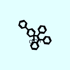 O=C(O)C1(C(=C(c2ccccc2)c2ccccc2)c2ccccc2)C=CC(c2ccccc2)=CC1